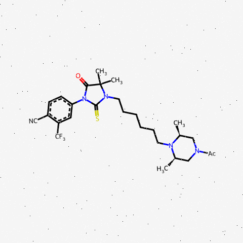 CC(=O)N1C[C@@H](C)N(CCCCCCN2C(=S)N(c3ccc(C#N)c(C(F)(F)F)c3)C(=O)C2(C)C)[C@@H](C)C1